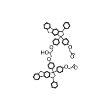 OC(COc1ccc(C2(c3ccc(OCC4CO4)cc3)CC(c3ccccc3)c3cc4c(cc32)Cc2ccccc2-4)cc1)COc1ccc(C2(c3ccc(OCC4CO4)cc3)CC(c3ccccc3)c3cc4c(cc32)Cc2ccccc2-4)cc1